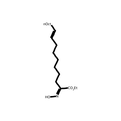 CCCCCCCC/C=C/CCCCCC/C(=N\O)C(=O)OCC